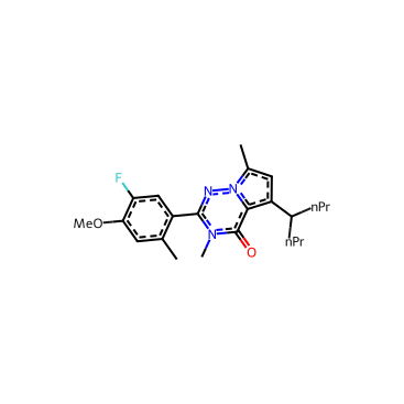 CCCC(CCC)c1cc(C)n2nc(-c3cc(F)c(OC)cc3C)n(C)c(=O)c12